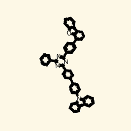 c1ccc(-c2nc(-c3ccc(-c4ccc(-n5c6ccccc6c6ccccc65)cc4)cc3)nc(-c3ccc(-c4cccc5c4oc4ccccc45)cc3)n2)cc1